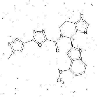 Cn1cc(-c2nnc(C(=O)N3CCc4[nH]cnc4[C@H]3c3cc4c(OC(F)(F)F)cccn4n3)o2)cn1